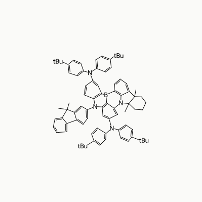 CC(C)(C)c1ccc(N(c2ccc(C(C)(C)C)cc2)c2ccc3c(c2)B2c4cccc5c4N(c4cc(N(c6ccc(C(C)(C)C)cc6)c6ccc(C(C)(C)C)cc6)cc(c42)N3c2ccc3c(c2)C(C)(C)c2ccccc2-3)C2(C)CCCCC52C)cc1